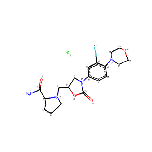 Cl.NC(=O)C1CCCN1CC1CN(c2ccc(N3CCOCC3)c(F)c2)C(=O)O1